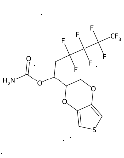 NC(=O)OC(CC(F)(F)C(F)(F)C(F)(F)C(F)(F)F)C1COc2cscc2O1